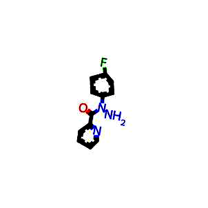 NN(C(=O)c1ccccn1)c1ccc(F)cc1